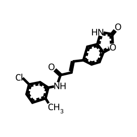 Cc1ccc(Cl)cc1NC(=O)/C=C/c1ccc2oc(=O)[nH]c2c1